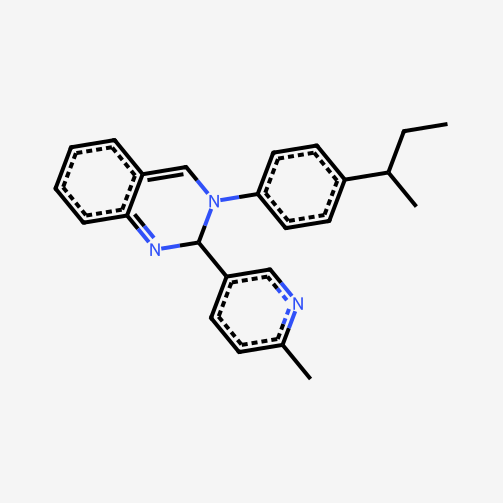 CCC(C)c1ccc(N2C=c3ccccc3=NC2c2ccc(C)nc2)cc1